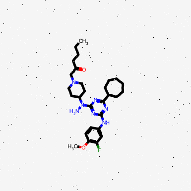 CCCCC(=O)CN1CCC(N(N)c2nc(Nc3ccc(OC)c(F)c3)nc(C3CCCCCC3)n2)CC1